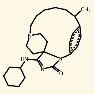 CC1CCCCCN2CCC3(CC2)C(NC2CCCCC2)=NC(=O)N3c2ccc1cc2